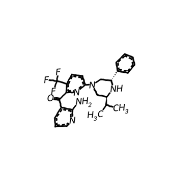 CC(C)[C@H]1CN(c2ccc(C(F)(F)F)c(C(=O)c3cccnc3N)n2)C[C@H](c2ccccc2)N1